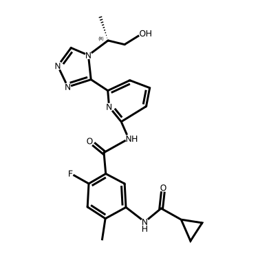 Cc1cc(F)c(C(=O)Nc2cccc(-c3nncn3[C@H](C)CO)n2)cc1NC(=O)C1CC1